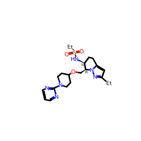 CCc1cc2n(n1)[C@@H](COC1CCN(c3ncccn3)CC1)[C@@H](NS(=O)(=O)CC)CC2